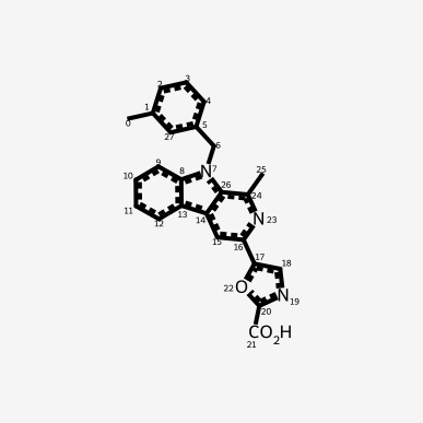 Cc1cccc(Cn2c3ccccc3c3cc(-c4cnc(C(=O)O)o4)nc(C)c32)c1